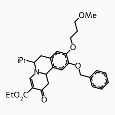 CCOC(=O)C1=CN2C(CC1=O)c1cc(OCc3ccccc3)c(OCCCOC)cc1CC2C(C)C